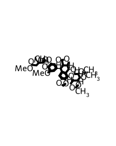 COC(=O)CC(C)C(=O)Oc1c(OC)cc([C@@H]2c3cc4c(cc3[C@@H](O[C@@H]3O[C@@H]5CO[C@@H](C)O[C@H]5[C@@H]5OC(C)(C)O[C@@H]35)[C@H]3COC(=O)[C@H]23)OCO4)cc1OC